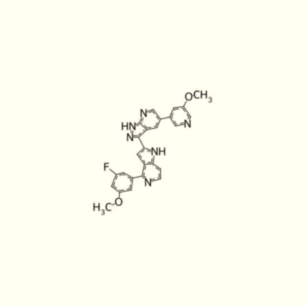 COc1cncc(-c2cnc3[nH]nc(-c4cc5c(-c6cc(F)cc(OC)c6)nccc5[nH]4)c3c2)c1